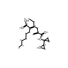 C=C(CC(CC)=C(CCCCCC)C(=O)O)C(=O)OC1(C2CO2)CC1